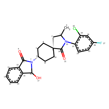 CC1C[C@]2(CC[C@@H](N3C(=O)c4ccccc4C3O)CC2)C(=O)N1c1ccc(F)cc1Cl